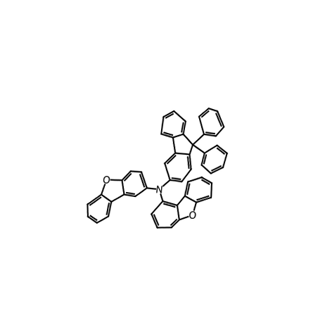 c1ccc(C2(c3ccccc3)c3ccccc3-c3cc(N(c4ccc5oc6ccccc6c5c4)c4cccc5oc6ccccc6c45)ccc32)cc1